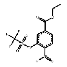 CCOC(=O)c1ccc([N+](=O)[O-])c(OS(=O)(=O)C(F)(F)F)c1